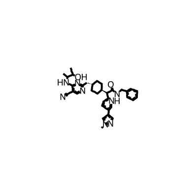 CC(O)C(C)Nc1nc(C[C@H]2CC[C@H](C(C(=O)NCc3ccccc3)c3ccc(-c4cnn(C)c4)cn3)CC2)ncc1C#N